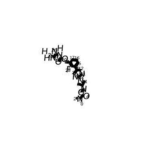 CN(C)C(=O)ON=C1CN(c2ncc(-c3cccc(COC(=O)NC(=N)N)c3F)cn2)C1